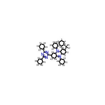 CC1(C)c2ccccc2-c2c1ccc1c2N(c2ccccc2)c2cc(-c3nc(-c4ccccc4)nc(-c4ccccc4)n3)ccc2N1c1ccccc1